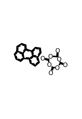 O=C1OC(=O)OC(=O)OC(=O)O1.c1cc2cccc3c4cccc5cccc(c(c1)c23)c54